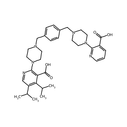 CC(C)c1cnc(N2CCN(Cc3ccc(CN4CCN(c5ncccc5C(=O)O)CC4)cc3)CC2)c(C(=O)O)c1C(C)C